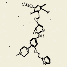 COc1cc(C)c(F)c(COc2cnc(Nc3ccc(N4CCN(C)CC4)c(OCCn4cccn4)c3)nc2)c1F